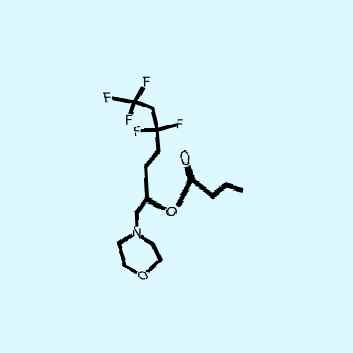 CCCC(=O)OC(CCC(F)(F)CC(F)(F)F)CN1CCOCC1